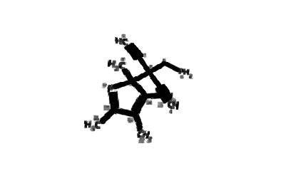 C#CC(C#C)(CP)C1(C)P=C(C)C(C)=C1C